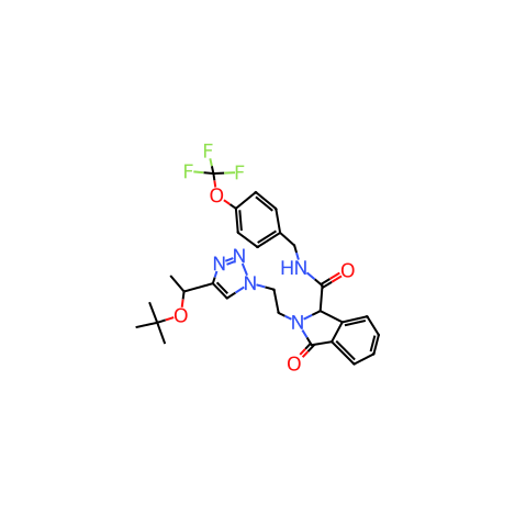 CC(OC(C)(C)C)c1cn(CCN2C(=O)c3ccccc3C2C(=O)NCc2ccc(OC(F)(F)F)cc2)nn1